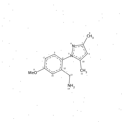 COc1ccc(-n2nc(C)cc2C)c(CN)c1